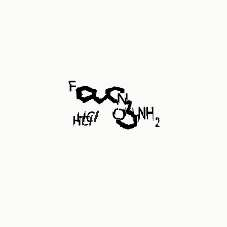 Cl.Cl.N[C@@H]1CCCO[C@H]1CN1CCCC(Cc2ccc(F)cc2)C1